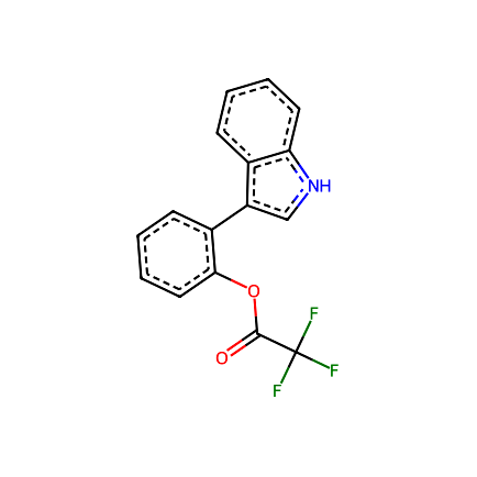 O=C(Oc1ccccc1-c1c[nH]c2ccccc12)C(F)(F)F